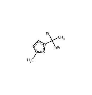 CCCC(C)(CC)c1ccc(C)s1